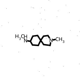 CNC1CCC2(CC1)CCN(C)CC2